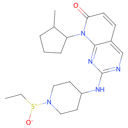 CC[S+]([O-])N1CCC(Nc2ncc3ccc(=O)n(C4CCCC4C)c3n2)CC1